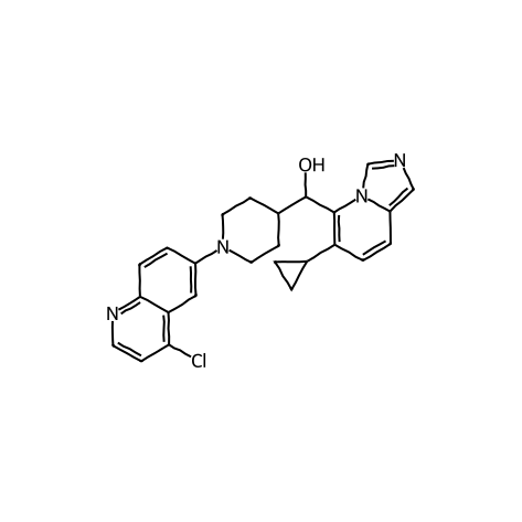 OC(c1c(C2CC2)ccc2cncn12)C1CCN(c2ccc3nccc(Cl)c3c2)CC1